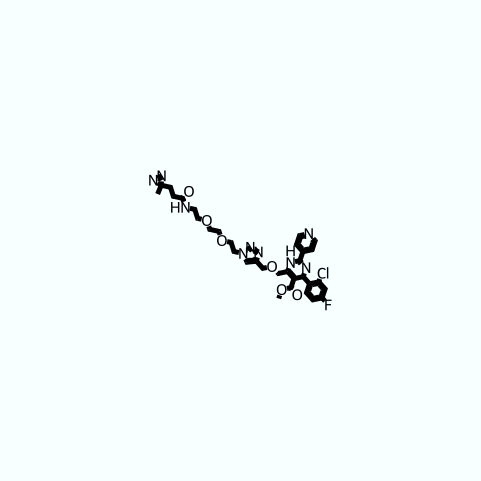 COC(=O)C1=C(COCc2cn(CCOCCOCCNC(=O)CCC3(C)N=N3)nn2)NC(c2ccncc2)=NC1c1ccc(F)cc1Cl